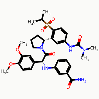 COc1ccc([C@@H](Nc2cccc(C(N)=O)c2)C(=O)N2CCC[C@@H]2c2cc(NC(=O)N(C)C)ccc2S(=O)(=O)C(C)C)cc1OC